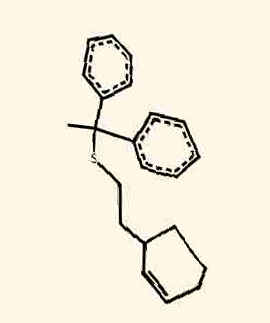 CC(SCCC1C=CCCC1)(c1ccccc1)c1ccccc1